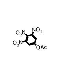 CC(=O)Oc1cc([N+](=O)[O-])c([N+](=O)[O-])c([N+](=O)[O-])c1